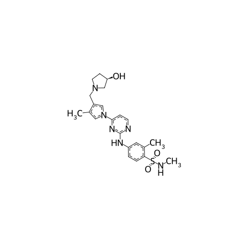 CNS(=O)(=O)c1ccc(Nc2nccc(-n3cc(C)c(CN4CC[C@@H](O)C4)c3)n2)cc1C